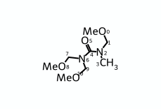 COCN(C)C(=O)N(COC)COC